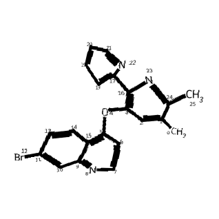 Cc1cc(Oc2ccnc3cc(Br)ccc23)c(-c2ccccn2)nc1C